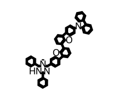 CN1C(c2ccc3c(c2)oc2c(-c4cccc5c4oc4cc(-n6c7ccccc7c7ccccc76)ccc45)cccc23)N=C(c2ccccc2)NC1c1ccccc1